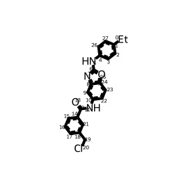 CCc1ccc(Nc2nc3cc(NC(=O)c4cccc(CCl)c4)ccc3o2)cc1